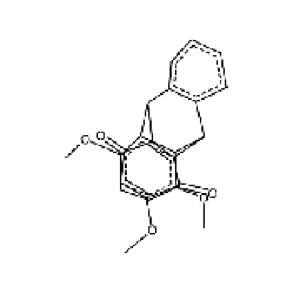 COC1=CC(=O)C2=C(C1=O)C1c3ccccc3C2c2c(OC)ccc(OC)c21